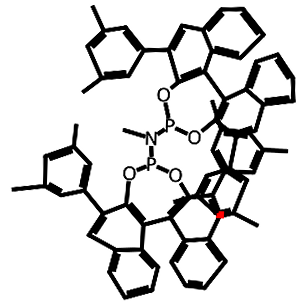 Cc1cc(C)cc(-c2cc3ccccc3c3c2op(N(C)p2oc4c(-c5cc(C)cc(C)c5)cc5ccccc5c4c4c(o2)c(-c2cc(C)cc(C)c2)cc2ccccc24)oc2c(-c4cc(C)cc(C)c4)cc4ccccc4c23)c1